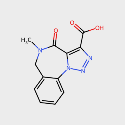 CN1Cc2ccccc2-n2nnc(C(=O)O)c2C1=O